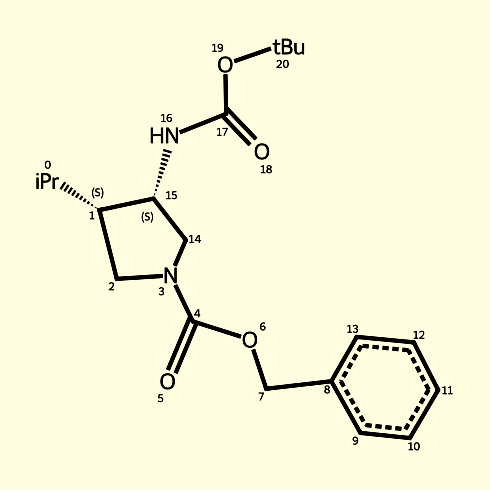 CC(C)[C@H]1CN(C(=O)OCc2ccccc2)C[C@H]1NC(=O)OC(C)(C)C